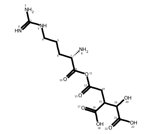 N=C(N)NCCC[C@H](N)C(=O)OC(=O)CC(C(=O)O)C(O)C(=O)O